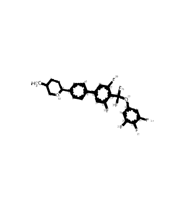 CC1CCC(c2ccc(-c3cc(F)c(C(F)(F)Oc4cc(F)c(F)c(F)c4)c(F)c3)cc2)OC1